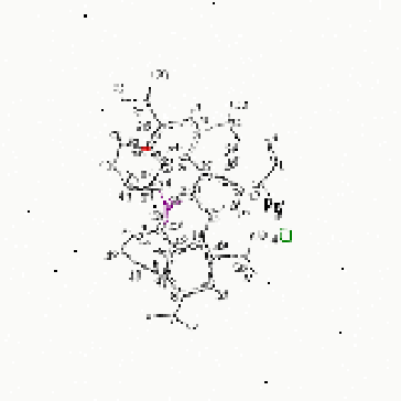 C=C[CH2][Pd][Cl].CC(C)c1cc(C(C)C)c(-c2cccc(-c3c(C(C)C)cc(C(C)C)cc3C(C)C)c2P(C2CCCCC2)C2CCCCC2)c(C(C)C)c1